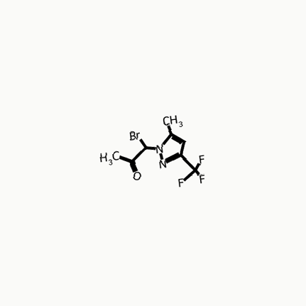 CC(=O)C(Br)n1nc(C(F)(F)F)cc1C